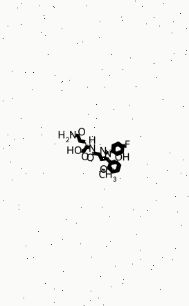 COc1cccc(O)c1-c1cc(C(=O)N[C@@H](CCC(N)=O)C(=O)O)nn1C1=C=C=C(F)C=C1